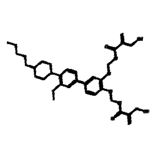 C=C(CO)C(=O)OCOc1ccc(-c2ccc(C3CCC(CCCCC)CC3)c(CC)c2)cc1OCOC(=O)C(=C)CO